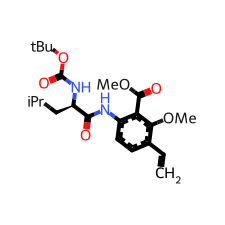 C=Cc1ccc(NC(=O)[C@@H](CC(C)C)NC(=O)OC(C)(C)C)c(C(=O)OC)c1OC